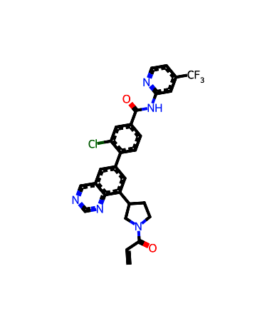 C=CC(=O)N1CCC(c2cc(-c3ccc(C(=O)Nc4cc(C(F)(F)F)ccn4)cc3Cl)cc3cncnc23)C1